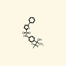 CC(O)(c1ccc(NS(=O)(=O)c2ccc(-c3ccccc3)s2)cc1)C(F)(F)F